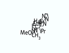 CCC(=N\N=C(/C)OC)/C(=C(/C=N\C(C)c1ncccn1)[S+]([O-])CC)C(C)C